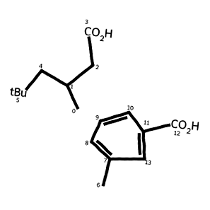 CC(CC(=O)O)CC(C)(C)C.Cc1cccc(C(=O)O)c1